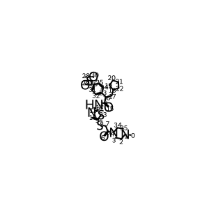 CN1CCN(C(=O)CSc2cnc(NC(=O)C(CC3CCCC3)c3ccc(S(C)(=O)=O)cc3)s2)CC1